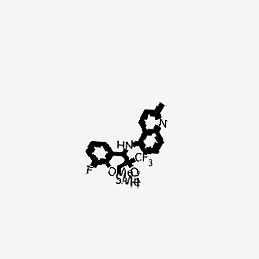 COc1c(F)cccc1C(Nc1cccc2nc(C)ccc12)C(O)(CSC)C(F)(F)F